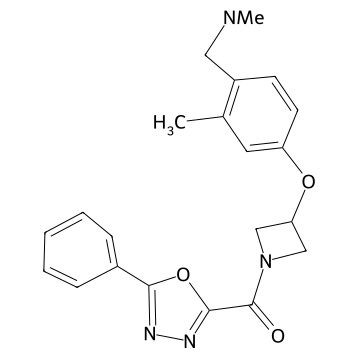 CNCc1ccc(OC2CN(C(=O)c3nnc(-c4ccccc4)o3)C2)cc1C